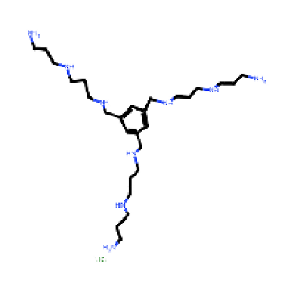 Cl.NCCCNCCCNCc1cc(CNCCCNCCCN)cc(CNCCCNCCCN)c1